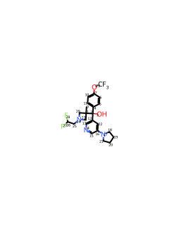 CC1([C@](O)(c2ccc(OC(F)(F)F)cc2)c2cncc(N3CCCC3)c2)CN(CC(F)F)C1